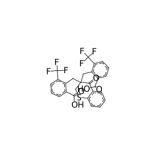 O=C(O)c1cccc(C(F)(F)F)c1CC1(Cc2c(C(=O)O)cccc2C(F)(F)F)CSc2ccccc2C1=O